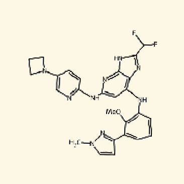 COc1c(Nc2cc(Nc3ccc(N4CCC4)cn3)nc3[nH]c(C(F)F)nc23)cccc1-c1ccn(C)n1